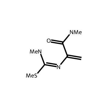 C=C(/N=C(\NC)SC)C(=O)NC